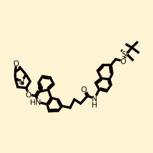 CN1C2CC(OC(=O)Nc3ccc(CCCC(=O)Nc4ccc5cc(CO[Si](C)(C)C(C)(C)C)ccc5c4)cc3-c3ccccc3)CC1C1OC12